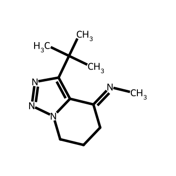 C/N=C1\CCCn2nnc(C(C)(C)C)c21